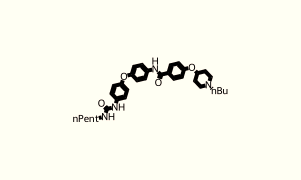 CCCCCNC(=O)Nc1ccc(Oc2ccc(NC(=O)c3ccc(OC4CCN(CCCC)CC4)cc3)cc2)cc1